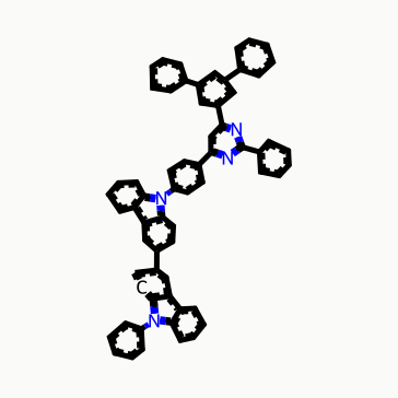 c1ccc(-c2cc(-c3ccccc3)cc(-c3cc(-c4ccc(-n5c6ccccc6c6cc(-c7ccc8c(c7)c7ccccc7n8-c7ccccc7)ccc65)cc4)nc(-c4ccccc4)n3)c2)cc1